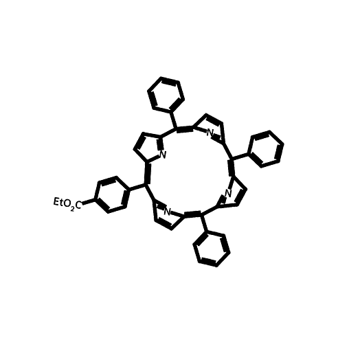 CCOC(=O)c1ccc(C2=C3C=CC(=N3)C(c3ccccc3)=C3C=CC(=N3)C(c3ccccc3)=C3C=CC(=N3)C(c3ccccc3)=C3C=CC2=N3)cc1